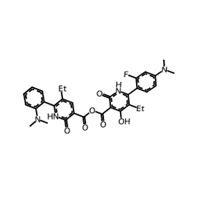 CCc1cc(C(=O)OC(=O)c2c(O)c(CC)c(-c3ccc(N(C)C)cc3F)[nH]c2=O)c(=O)[nH]c1-c1ccccc1N(C)C